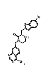 Nc1ncnc2cc(CN3CCNC(Cc4cc5ccc(Br)cc5s4)C3=O)ccc12